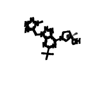 Cn1nnnc1Cn1nnc2c(N3CC[C@@](C)(O)C3)nc(C(C)(C)C)nc21